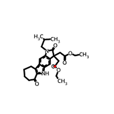 CCOC(=O)CC1(CC(=O)OCC)C(=O)N(CC(C)C)c2cc3c4c([nH]c3cc21)C(=O)CCCC4